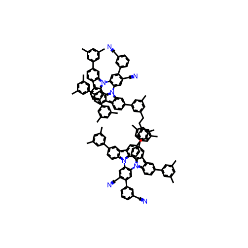 Cc1cc(C)cc(-c2ccc3c(c2)c2cc(-c4cc(C)cc(CCc5cc(C)cc(-c6ccc7c8ccc(-c9cc(C)cc(C)c9)cc8n(-c8cc(C#N)c(-c9cccc(C#N)c9)cc8-n8c9cc(-c%10cc(C)cc(C)c%10)ccc9c9ccc(-c%10cc(C)cc(C)c%10)cc98)c7c6)c5)c4)ccc2n3-c2cc(C#N)c(-c3cccc(C#N)c3)cc2-n2c3ccc(-c4cc(C)cc(C)c4)cc3c3cc(-c4cc(C)cc(C)c4)ccc32)c1